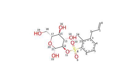 C=CCc1cccc(S(=O)(=O)O[C@@H]2[C@@H](O)[C@H](O)[C@@H](CO)O[C@H]2O)c1C